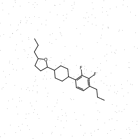 CCCc1ccc(C2CCC(C3CCC(CCC)O3)CC2)c(F)c1F